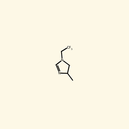 CC1[CH]N(CC(F)(F)F)[C]=N1